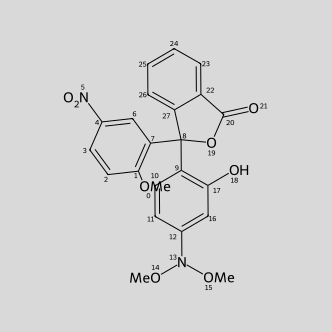 COc1ccc([N+](=O)[O-])cc1C1(c2ccc(N(OC)OC)cc2O)OC(=O)c2ccccc21